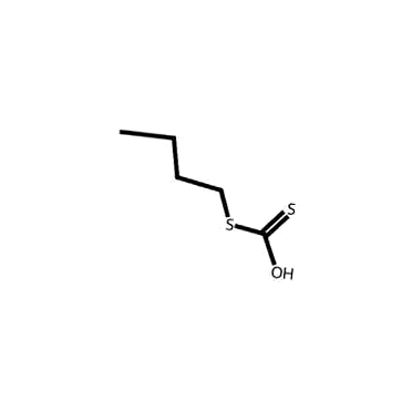 CCCCSC(O)=S